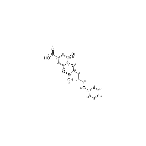 O=C(O)c1ccc(OC(CCCOc2ccccc2)C(=O)O)c(Br)c1